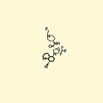 N#Cc1ccc(N2C[C@@]3(C(=O)NC4CCN(CCF)CC4)C[C@@]3(C(F)(F)F)C2)c2cccnc12